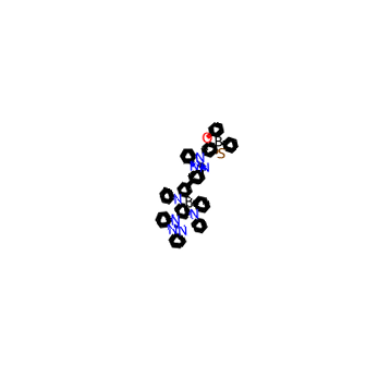 c1ccc(N2c3ccccc3B3c4cc(-c5ccc6nc7n(-c8cc9c%10c(c8)Sc8ccccc8B%10c8ccccc8O9)c8ccccc8n7c6c5)ccc4N(c4ccccc4)c4cc(-n5c6ccccc6n6c7ccccc7nc56)cc2c43)cc1